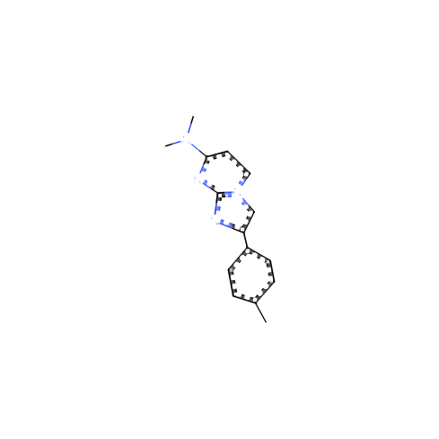 Cc1ccc(-c2cn3ccc(N(C)C)nc3n2)cc1